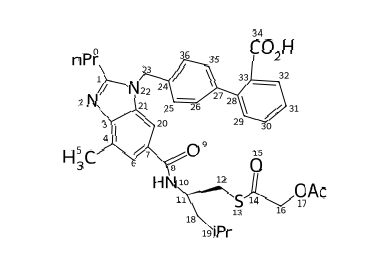 CCCc1nc2c(C)cc(C(=O)N[C@@H](CSC(=O)COC(C)=O)CC(C)C)cc2n1Cc1ccc(-c2ccccc2C(=O)O)cc1